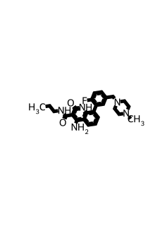 CCCNC(=O)c1c(N)c2cccc(-c3cc(CN4CCN(C)CC4)ccc3F)c2[nH]c1=O